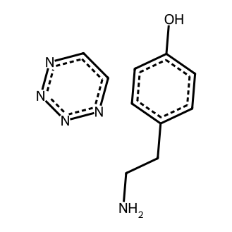 NCCc1ccc(O)cc1.c1cnnnn1